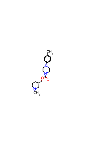 Cc1ccc(N2CCN(C(=O)OC[C@@H]3CCCN(C)C3)CC2)cc1